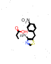 CCC(=O)O.CCCc1ncsc1Cc1ccc([N+](=O)[O-])cc1